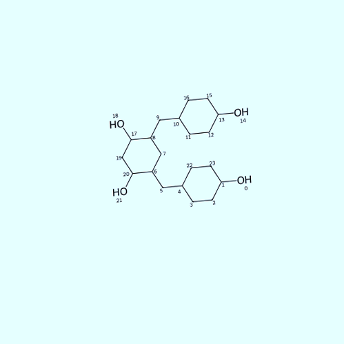 OC1CCC(CC2CC(CC3CCC(O)CC3)C(O)CC2O)CC1